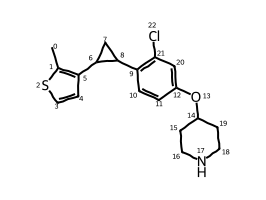 Cc1sccc1C1CC1c1ccc(OC2CCNCC2)cc1Cl